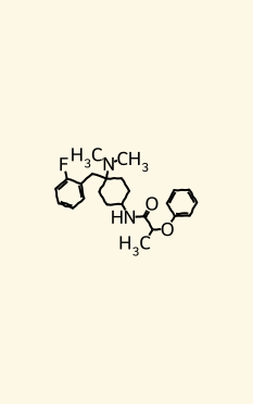 CC(Oc1ccccc1)C(=O)NC1CCC(Cc2ccccc2F)(N(C)C)CC1